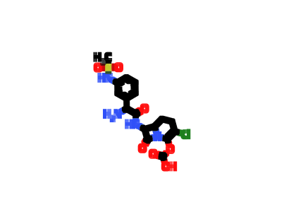 CS(=O)(=O)Nc1cccc(C(N)C(=O)NC2C(=O)N3C(OC(=O)O)=C(Cl)CCC23)c1